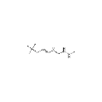 CNNCB/C=C/CC(C)(C)C